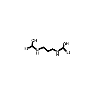 CCC(O)NCCCNC(O)CC